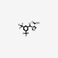 O=C(O)[C@@H]1COCN1C(=O)c1cc(C(F)(F)F)cc(C(F)(F)F)c1